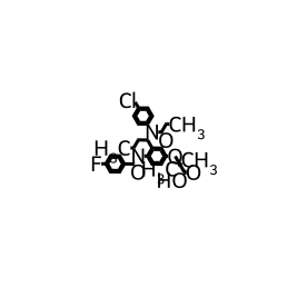 CCC(=O)N(c1ccc(Cl)cc1)C1CC(C)N(C(=O)c2ccc(F)cc2)c2ccc(OC(C)(C)C(=O)O)cc21